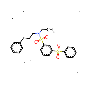 CCN(CCCc1ccccc1)S(=O)(=O)c1cccc(S(=O)(=O)c2ccccc2)c1